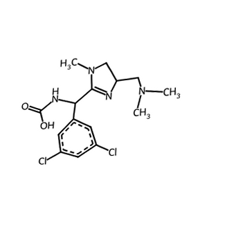 CN(C)CC1CN(C)C(C(NC(=O)O)c2cc(Cl)cc(Cl)c2)=N1